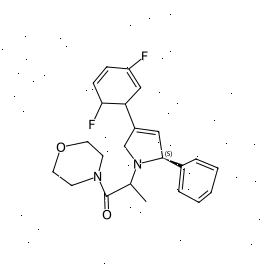 CC(C(=O)N1CCOCC1)N1CC(C2C=C(F)C=CC2F)=C[C@H]1c1ccccc1